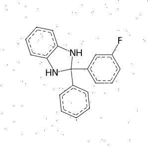 Fc1cccc(C2(c3cc[c]cc3)Nc3ccccc3N2)c1